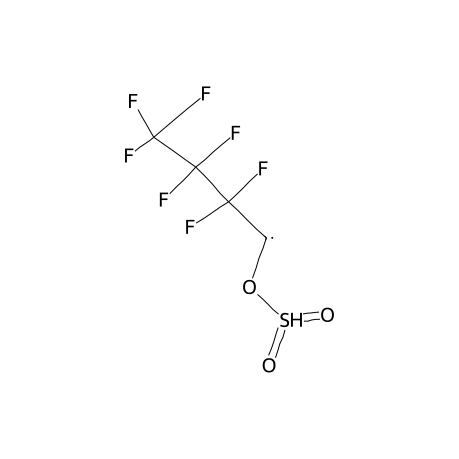 O=[SH](=O)O[CH]C(F)(F)C(F)(F)C(F)(F)F